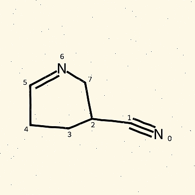 N#CC1CCC=NC1